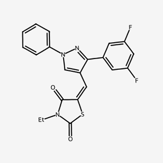 CCN1C(=O)SC(=Cc2cn(-c3ccccc3)nc2-c2cc(F)cc(F)c2)C1=O